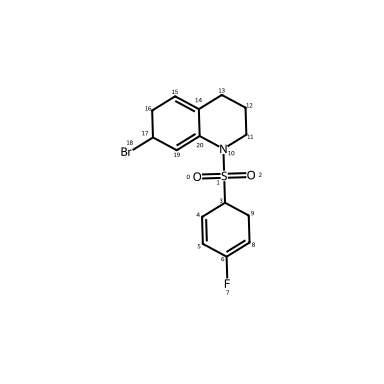 O=S(=O)(C1C=CC(F)=CC1)N1CCCC2=CCC(Br)C=C21